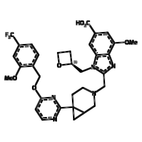 COc1cc(C(F)(F)F)ccc1COc1ccnc(C23CCN(Cc4nc5c(OC)cc(C(=O)O)cc5n4C[C@@H]4CCO4)CC2C3)n1